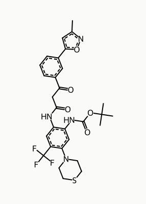 Cc1cc(-c2cccc(C(=O)CC(=O)Nc3cc(C(F)(F)F)c(N4CCSCC4)cc3NC(=O)OC(C)(C)C)c2)on1